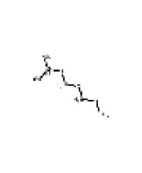 CC(C)(C)[SiH](O[SiH2]O[SiH2]O[SiH3])C(C)(C)C